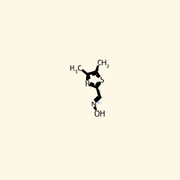 Cc1nc(/C=N/O)sc1C